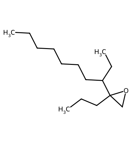 CCCCCCCC(CC)C1(CCC)CO1